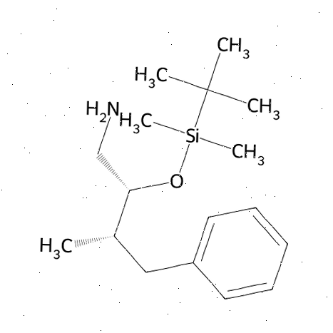 C[C@@H](Cc1ccccc1)[C@H](CN)O[Si](C)(C)C(C)(C)C